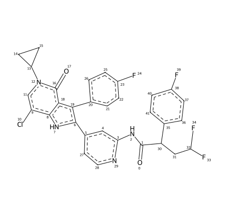 O=C(Nc1cc(-c2[nH]c3c(Cl)cn(C4CC4)c(=O)c3c2-c2ccc(F)cc2)ccn1)C(CC(F)F)c1ccc(F)cc1